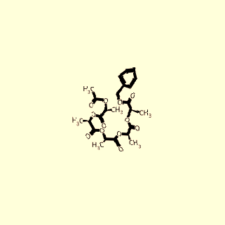 CC(=O)O[C@@H](C)C(=O)O[C@H](C)C(=O)O[C@H](C)C(=O)O[C@H](C)C(=O)O[C@H](C)C(=O)OCc1ccccc1